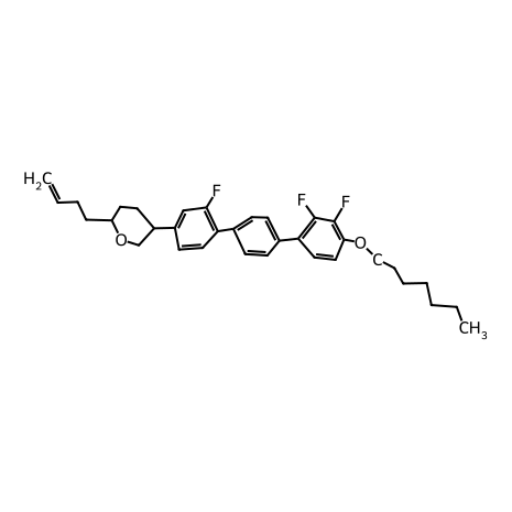 C=CCCC1CCC(c2ccc(-c3ccc(-c4ccc(OCCCCCCC)c(F)c4F)cc3)c(F)c2)CO1